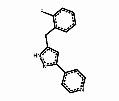 Fc1ccccc1Cc1cc(-c2ccncc2)n[nH]1